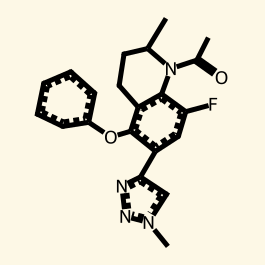 CC(=O)N1c2c(F)cc(-c3cn(C)nn3)c(Oc3ccccc3)c2CCC1C